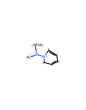 CC(=O)NN(C(C)=O)N1C=CC=CC1